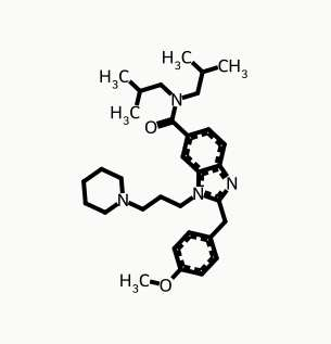 COc1ccc(Cc2nc3ccc(C(=O)N(CC(C)C)CC(C)C)cc3n2CCCN2CCCCC2)cc1